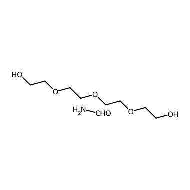 NC=O.OCCOCCOCCOCCO